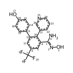 N/C(=N\O)c1cc(C(F)(F)F)cc(-c2ccc(O)cc2)c1-c1cccnc1